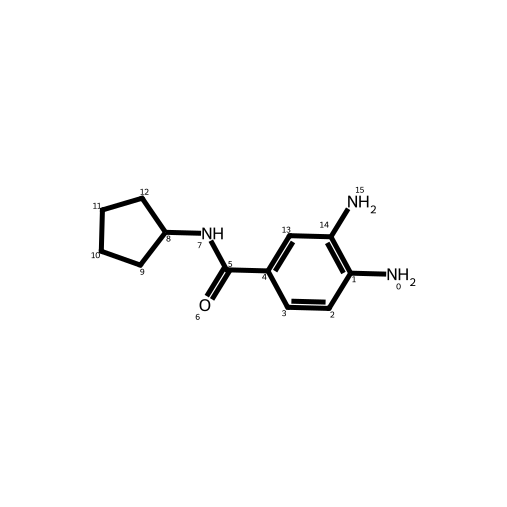 Nc1ccc(C(=O)NC2CCCC2)cc1N